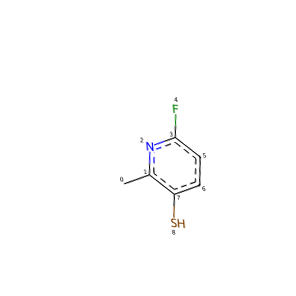 Cc1nc(F)ccc1S